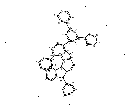 C1=CC2C(c3ccccc3N2c2ccccc2)c2c1oc1c(-c3nc(-c4ccccc4)nc(-c4ccccc4)n3)ccc(-c3ccccc3)c21